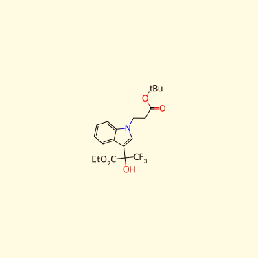 CCOC(=O)C(O)(c1cn(CCC(=O)OC(C)(C)C)c2ccccc12)C(F)(F)F